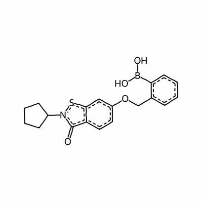 O=c1c2ccc(OCc3ccccc3B(O)O)cc2sn1C1CCCC1